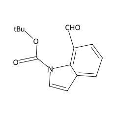 CC(C)(C)OC(=O)n1ccc2cccc(C=O)c21